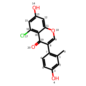 Cc1cc(O)ccc1-c1coc2cc(O)cc(Cl)c2c1=O